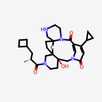 C[C@H](CC1CCC1)C(=O)N1CC[C@@]2(O)Cn3cc(c(C4CC4)cc3=O)C(=O)N3CCNCC34CCC2(C1)C4